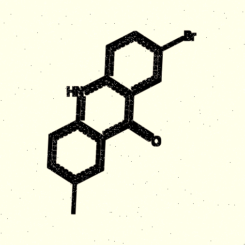 Cc1ccc2[nH]c3ccc(Br)cc3c(=O)c2c1